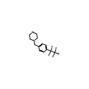 FC(F)(F)C(F)(F)c1ccc(CN2CC[N]CC2)cc1